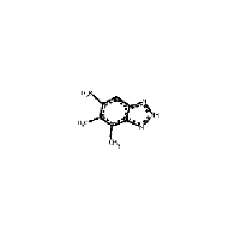 Bc1cc2n[nH]nc2c(C)c1C